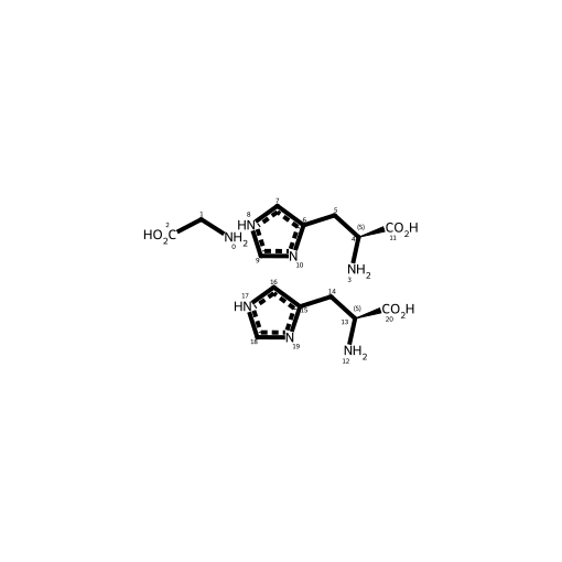 NCC(=O)O.N[C@@H](Cc1c[nH]cn1)C(=O)O.N[C@@H](Cc1c[nH]cn1)C(=O)O